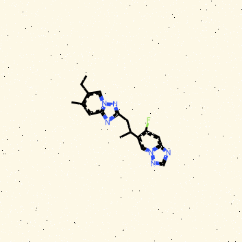 CCc1cn2nc(CC(C)c3cn4ncnc4cc3F)nc2cc1C